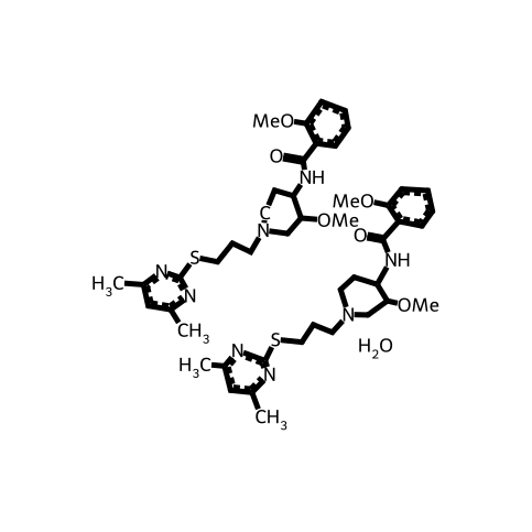 COc1ccccc1C(=O)NC1CCN(CCCSc2nc(C)cc(C)n2)CC1OC.COc1ccccc1C(=O)NC1CCN(CCCSc2nc(C)cc(C)n2)CC1OC.O